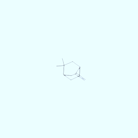 CC1(C)CC2CCC1CC2=O